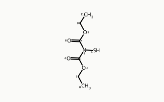 CCOC(=O)N(S)C(=O)OCC